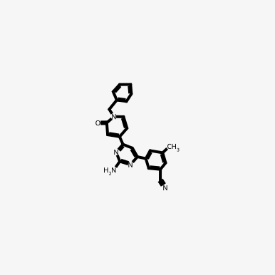 Cc1cc(C#N)cc(-c2cc(-c3ccn(Cc4ccccc4)c(=O)c3)nc(N)n2)c1